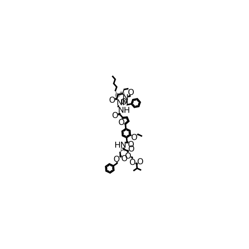 CCCCC[C@@H](C(=O)NCNC(=O)c1ccc(-c2ccc(C(=O)N[C@@H](CC(=O)OCc3ccccc3)C(=O)OCOC(=O)C(C)C)c(OCC)c2)o1)[C@@H](CC)N(C=O)OCc1ccccc1